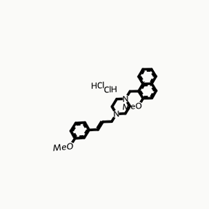 COc1cccc(/C=C/CN2CCN(Cc3c(OC)ccc4ccccc34)CC2)c1.Cl.Cl